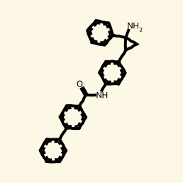 NC1(c2ccccc2)CC1c1ccc(NC(=O)c2ccc(-c3ccccc3)cc2)cc1